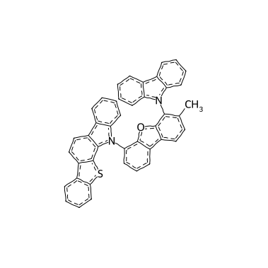 Cc1ccc2c(oc3c(-n4c5ccccc5c5ccc6c7ccccc7sc6c54)cccc32)c1-n1c2ccccc2c2ccccc21